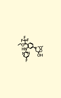 CCO[C@@H](c1ccc([C@H](COC)CC(=O)O)cc1Nc1ncc(F)cn1)C(F)(F)F